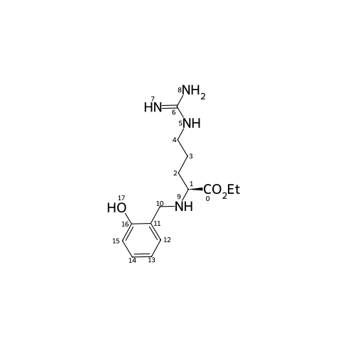 CCOC(=O)[C@H](CCCNC(=N)N)NCc1ccccc1O